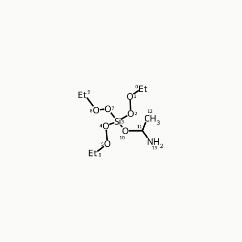 CCOO[Si](OOCC)(OOCC)OC(C)N